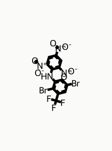 O=[N+]([O-])c1cc([N+](=O)[O-])c(Nc2cc(Br)cc(C(F)(F)F)c2Br)c([N+](=O)[O-])c1